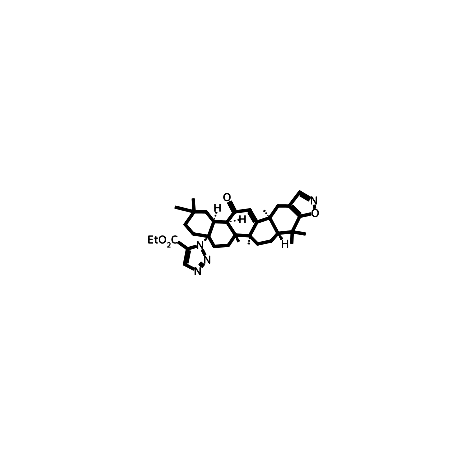 CCOC(=O)c1cnnn1[C@]12CCC(C)(C)C[C@H]1[C@H]1C(=O)C=C3[C@@]4(C)Cc5cnoc5C(C)(C)[C@@H]4CC[C@@]3(C)[C@]1(C)CC2